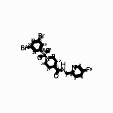 O=C(NCc1ccc(F)cn1)C1CCN(S(=O)(=O)c2cc(Br)cc(Br)c2)CC1